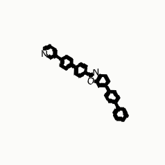 c1ccc(-c2ccc(-c3ccc4nc(-c5ccc(-c6ccc(-c7cccnc7)cc6)cc5)oc4c3)cc2)cc1